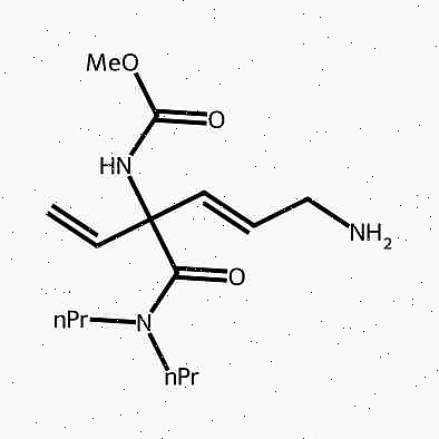 C=CC(C=CCN)(NC(=O)OC)C(=O)N(CCC)CCC